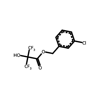 O=C(OCc1cccc(Cl)c1)C(O)(C(F)(F)F)C(F)(F)F